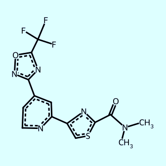 CN(C)C(=O)c1nc(-c2cc(-c3noc(C(F)(F)F)n3)ccn2)cs1